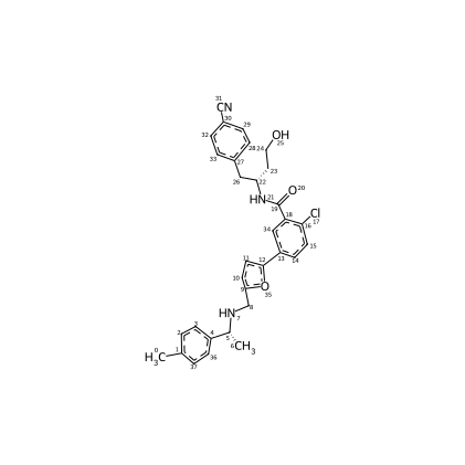 Cc1ccc([C@@H](C)NCc2ccc(-c3ccc(Cl)c(C(=O)N[C@@H](CCO)Cc4ccc(C#N)cc4)c3)o2)cc1